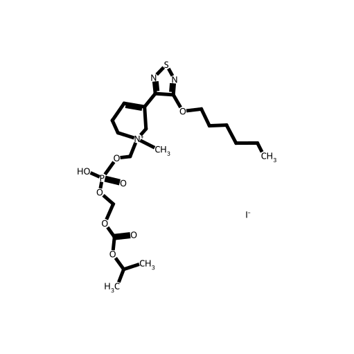 CCCCCCOc1nsnc1C1=CCC[N+](C)(COP(=O)(O)OCOC(=O)OC(C)C)C1.[I-]